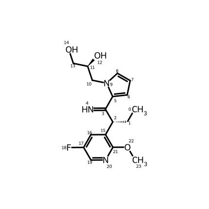 CC[C@@H](C(=N)c1cccn1C[C@H](O)CO)c1cc(F)cnc1OC